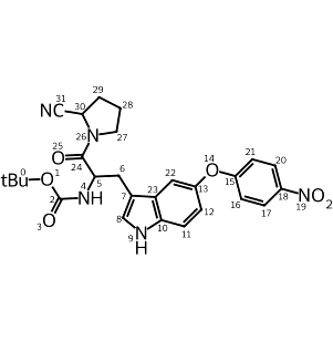 CC(C)(C)OC(=O)NC(Cc1c[nH]c2ccc(Oc3ccc([N+](=O)[O-])cc3)cc12)C(=O)N1CCCC1C#N